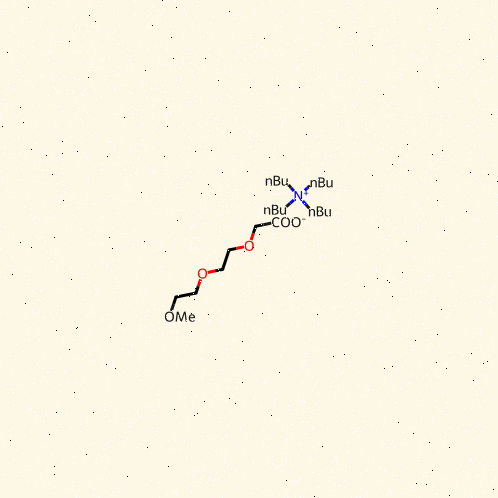 CCCC[N+](CCCC)(CCCC)CCCC.COCCOCCOCC(=O)[O-]